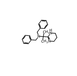 CC(C)(C1=NCCCN1)N(Cc1ccccc1)Cc1ccccc1